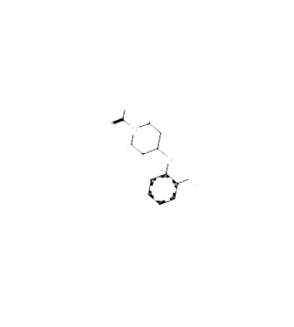 CC(=O)N1CCC(Nc2ccccc2S)CC1